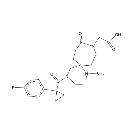 CN1CCN(C(=O)C2(c3ccc(F)cc3)CC2)CC12CCC(=O)N(CC(=O)O)CC2